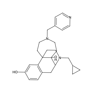 Oc1ccc2c(c1)C13CCN(Cc4ccncc4)CCC1(O)C(C2)N(CC1CC1)CC3